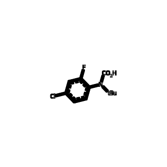 CC(C)(C)N(C(=O)O)c1ccc(Cl)cc1F